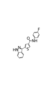 O=C(Nc1ccc(F)cc1)c1csc(-c2n[nH]c3ccccc23)c1